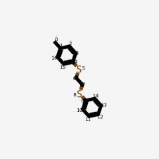 Cc1ccc(SCCSc2ccccc2)cc1